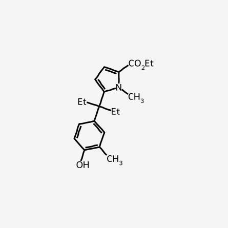 CCOC(=O)c1ccc(C(CC)(CC)c2ccc(O)c(C)c2)n1C